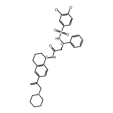 C=C(CN1CCCCC1)c1ccc2c(c1)CCC[C@H]2NC(=O)C[C@@H](NS(=O)(=O)c1ccc(Cl)c(Cl)c1)c1ccccc1